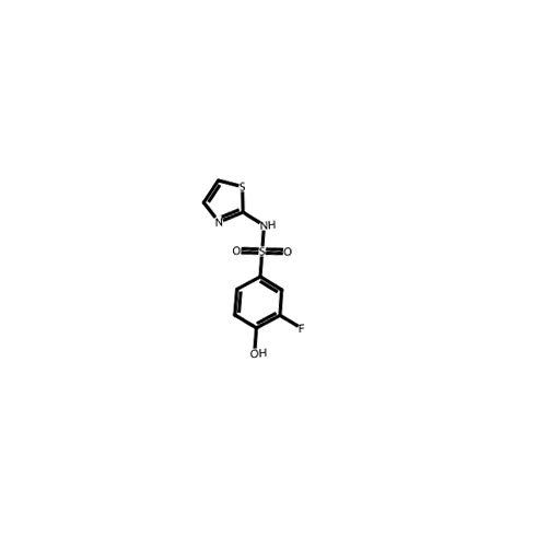 O=S(=O)(Nc1nccs1)c1ccc(O)c(F)c1